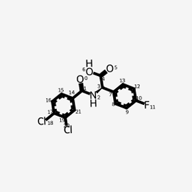 O=C(N[C@@H](C(=O)O)c1ccc(F)cc1)c1ccc(Cl)c(Cl)c1